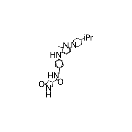 Cc1nc(N2CCC(C(C)C)CC2)ccc1Nc1ccc(CNC(=O)C2CNC(=O)C2)cc1